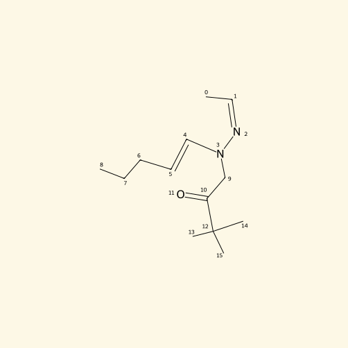 C/C=N\N(/C=C/CCC)CC(=O)C(C)(C)C